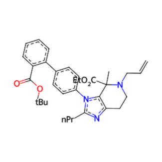 C=CCN1CCc2nc(CCC)n(-c3ccc(-c4ccccc4C(=O)OC(C)(C)C)cc3)c2C1(C)C(=O)OCC